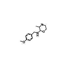 COc1ccc(CNC2OCC[N]C2C)cc1